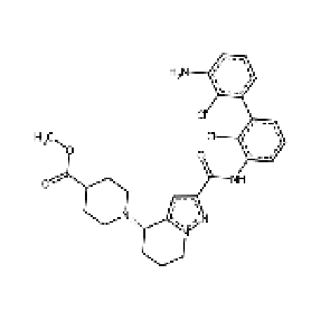 COC(=O)C1CCN([C@H]2CCCn3nc(C(=O)Nc4cccc(-c5cccc(N)c5Cl)c4Cl)cc32)CC1